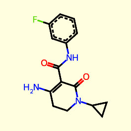 NC1=C(C(=O)Nc2cccc(F)c2)C(=O)N(C2CC2)CC1